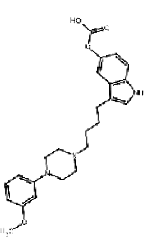 COc1cccc(N2CCN(CCCCc3c[nH]c4ccc(OC(=O)O)cc34)CC2)c1